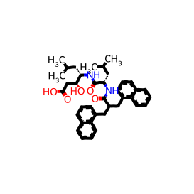 CC(C)C[C@H](NC(=O)C(Cc1cccc2ccccc12)Cc1cccc2ccccc12)C(=O)N[C@@H](CC(C)C)[C@@H](O)CC(=O)O